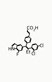 CC/C(=C(/c1ccc(/C=C/C(=O)O)cc1)c1cc(F)c2[nH]ccc2c1)c1ccc(Cl)cc1Cl